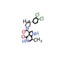 Cc1c[nH]c(=O)c2c(C(=O)N3C[C@H]4C[C@@]4(c4ccc(Cl)c(Cl)c4)C3)c[nH]c12